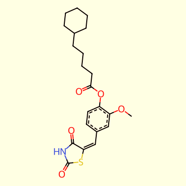 COc1cc(C=C2SC(=O)NC2=O)ccc1OC(=O)CCCCC1CCCCC1